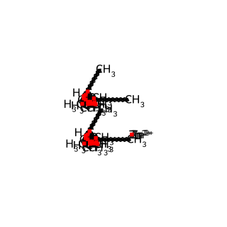 CCCCCCCCCCCCCCCCCC(=O)OC(OCC)(OCC)C(OCC)(OCC)S(C(OCC)(OCC)C(OCC)(OCC)OC(=O)CCCCCCCCCCCCCCCCC)=P([O-])([O-])[S-].CCCCCCCCCCCCCCCCCC(=O)OC(OCC)(OCC)C(OCC)(OCC)S(C(OCC)(OCC)C(OCC)(OCC)OC(=O)CCCCCCCCCCCCCCCCC)=P([O-])([O-])[S-].[Zn+2].[Zn+2].[Zn+2]